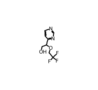 OCC(OCC(F)(F)F)c1ccncn1